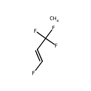 C.FC=CC(F)(F)F